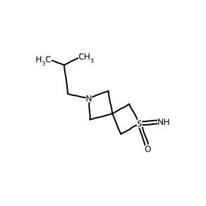 CC(C)CN1CC2(C1)CS(=N)(=O)C2